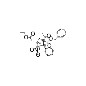 CCOC(=O)C[C@@H]1C[C@@](C(C)=O)(C(=O)OCc2ccccc2)[C@@H](c2ccccc2)[C@@H]1[N+](=O)[O-]